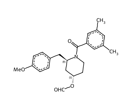 COc1ccc(C[C@@H]2C[C@@H](OC=O)CCN2C(=O)c2cc(C)cc(C)c2)cc1